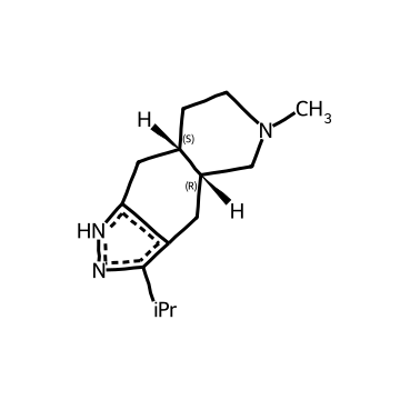 CC(C)c1n[nH]c2c1C[C@H]1CN(C)CC[C@H]1C2